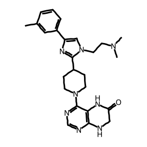 Cc1cccc(-c2cn(CCN(C)C)c(C3CCN(c4ncnc5c4NC(=O)CN5)CC3)n2)c1